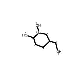 OCC1CCC(O)N(O)C1